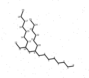 CCCCCCCCC([CH]C(CC)CCCCCCC)CCCCCC